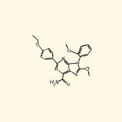 CCOc1ccc(-c2nc(C(N)=O)c3nc(OC)n(-c4ccccc4OC)c3n2)cc1